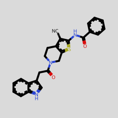 N#Cc1c(NC(=O)c2ccccc2)sc2c1CCN(C(=O)Cc1c[nH]c3ccccc13)C2